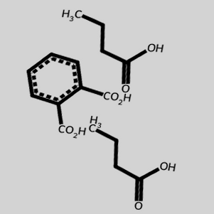 CCCC(=O)O.CCCC(=O)O.O=C(O)c1ccccc1C(=O)O